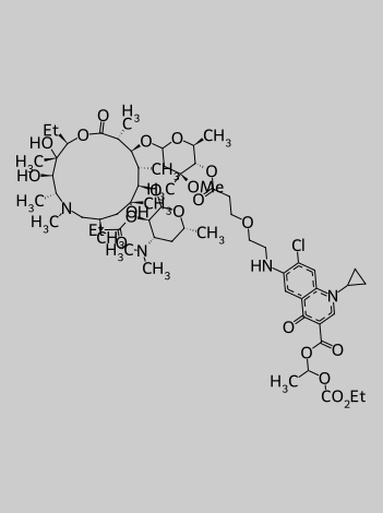 CCOC(=O)OC(C)OC(=O)c1cn(C2CC2)c2cc(Cl)c(NCCOCCC(=O)O[C@H]3[C@H](C)OC(O[C@H]4[C@H](C)[C@@H](OC5O[C@H](C)C[C@H](N(C)C)[C@H]5OC(=O)CC)[C@](C)(O)C[C@@H](C)CN(C)[C@H](C)[C@@H](O)[C@](C)(O)[C@@H](CC)OC(=O)[C@@H]4C)C[C@]3(C)OC)cc2c1=O